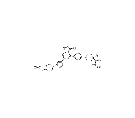 CCC1(C(=O)NC(C)C)CCN(c2ccc(-c3cc(-c4cnn(C5CCC(CC=O)CC5)c4)cn4ncc(C#N)c34)cn2)CC1